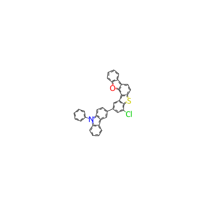 Clc1cc(-c2ccc3c(c2)c2ccccc2n3-c2ccccc2)cc2c1sc1ccc3c4ccccc4oc3c12